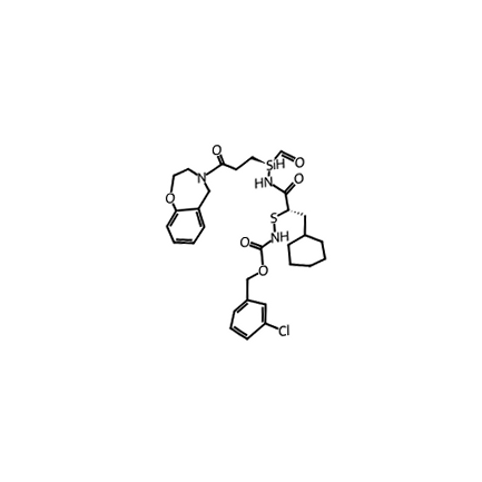 O=C[Si@H](CCC(=O)N1CCOc2ccccc2C1)NC(=O)[C@H](CC1CCCCC1)SNC(=O)OCc1cccc(Cl)c1